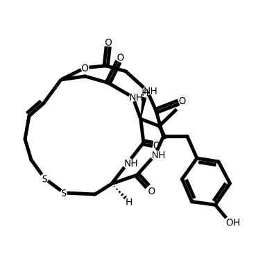 CC(C)[C@H]1NC(=O)CC2/C=C/CCSSC[C@@H](NC1=O)C(=O)NC(Cc1ccc(O)cc1)C(=O)NCC(=O)O2